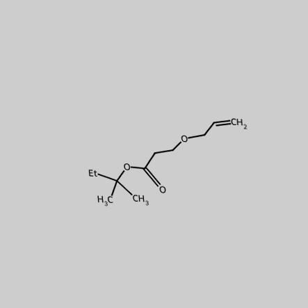 C=CCOCCC(=O)OC(C)(C)CC